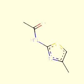 CC(=O)Nc1nc(C)[c]s1